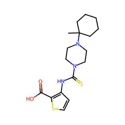 CC1(N2CCN(C(=S)Nc3ccsc3C(=O)O)CC2)CCCCC1